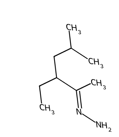 CCC(CC(C)C)C(C)=NN